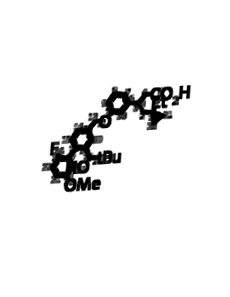 CCC1(C[C@H](CC(=O)O)c2cccc(OCc3ccc(-c4cc(OC)ccc4F)c(C(O)C(C)(C)C)c3)c2)CC1